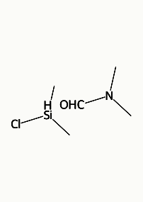 CN(C)C=O.C[SiH](C)Cl